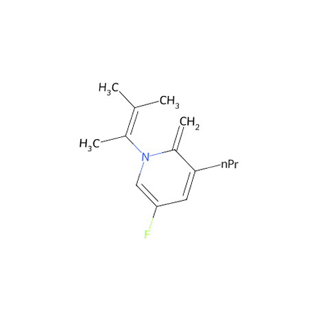 C=C1C(CCC)=CC(F)=CN1C(C)=C(C)C